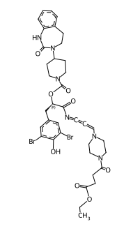 CCOC(=O)CCC(=O)N1CCN(C=C=C=NC(=O)[C@@H](Cc2cc(Br)c(O)c(Br)c2)OC(=O)N2CCC(N3CCc4ccccc4NC3=O)CC2)CC1